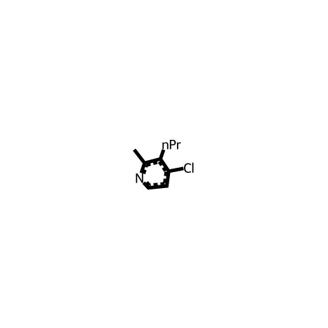 CCCc1c(Cl)ccnc1C